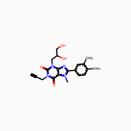 C#CCn1c(=O)c2c(nc(-c3ccc(OC)c(OC)c3)n2C)n(CC(O)CO)c1=O